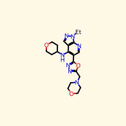 CCn1ncc2c(NC3CCOCC3)c(-c3nnc(CN4CCOCC4)o3)cnc21